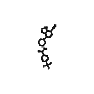 N#Cc1ccc(N2CCC[C@@H](NC(=O)c3ccc(C(F)(F)F)cc3)C2)c2cc[nH]c12